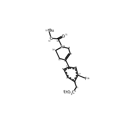 CCOC(=O)Cc1ccc(C2=CCN(C(=O)OC(C)(C)C)CC2)cc1F